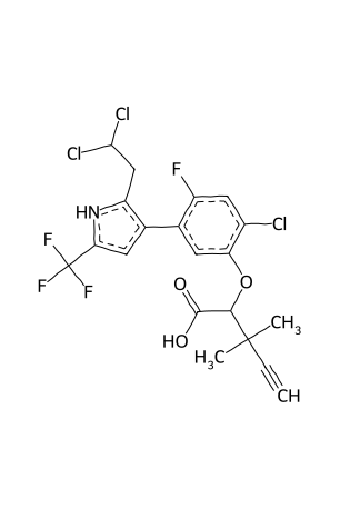 C#CC(C)(C)C(Oc1cc(-c2cc(C(F)(F)F)[nH]c2CC(Cl)Cl)c(F)cc1Cl)C(=O)O